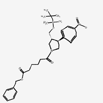 CC(C)(C)[Si](C)(C)OC[C@H]1CN(C(=O)CCCCC(=O)OCc2ccccc2)C[C@@H]1c1ccc([N+](=O)[O-])cc1